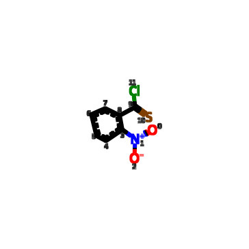 O=[N+]([O-])c1ccccc1C(=S)Cl